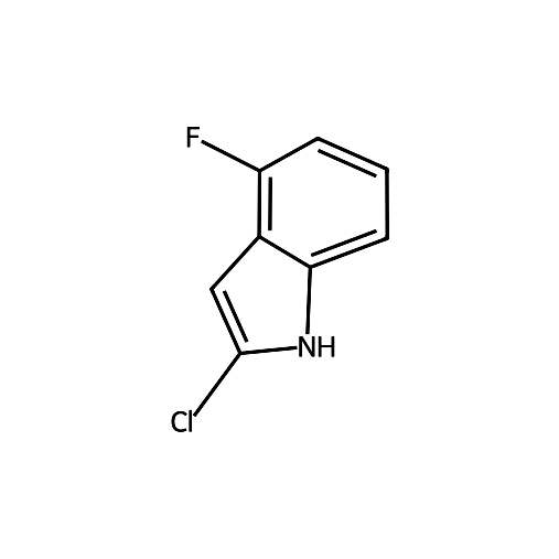 Fc1cccc2[nH]c(Cl)cc12